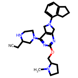 CN1CCCC1COc1nc2c(c(N3CCNC(CC#N)C3)n1)CN(c1cccc3c1CCC3)C2